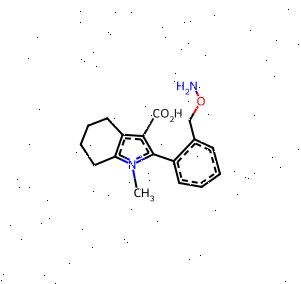 Cn1c2c(c(C(=O)O)c1-c1ccccc1CON)CCCC2